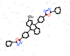 CC(C)(C)c1ccc2c(-c3ccc(-c4nnc(-c5ccccc5)o4)cc3)c3ccccc3c(-c3ccc(-c4nnc(-c5ccccc5)o4)cc3)c2c1